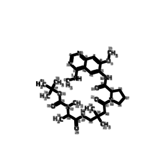 CNc1ncnc2cc(OC)c(NC(=O)C3CCCN3C(=O)CC(C)(C)CNC(=O)C(C)N(C)C(=O)OC(C)(C)C)cc12